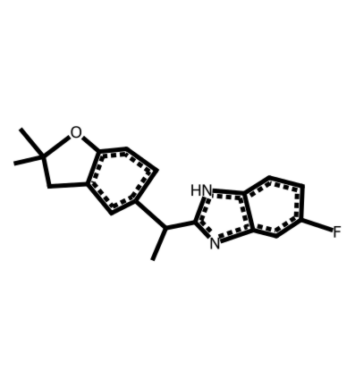 CC(c1ccc2c(c1)CC(C)(C)O2)c1nc2cc(F)ccc2[nH]1